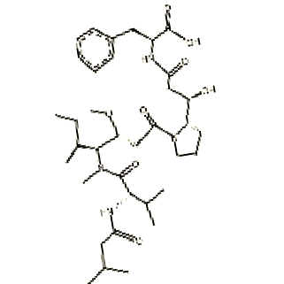 CCC(C)[C@@H]([C@@H](CC(=O)N1CCC[C@H]1[C@H](O)CC(=O)N[C@@H](Cc1ccccc1)C(=O)O)OC)N(C)C(=O)[C@@H](NC(=O)CC(C)C)C(C)C